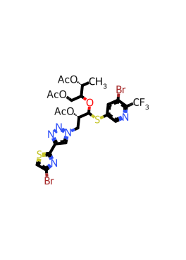 CC(=O)OCC(OC(Sc1cnc(C(F)(F)F)c(Br)c1)[C@H](Cn1cc(-c2nc(Br)cs2)nn1)OC(C)=O)[C@@H](C)OC(C)=O